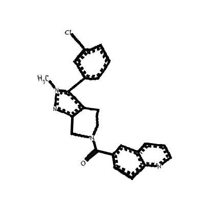 Cn1nc2c(c1-c1cccc(Cl)c1)CCN(C(=O)c1ccc3ncccc3c1)C2